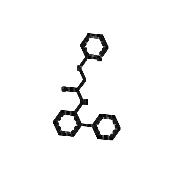 O=C(CSc1ccccn1)Nc1ccccc1-c1ccccc1